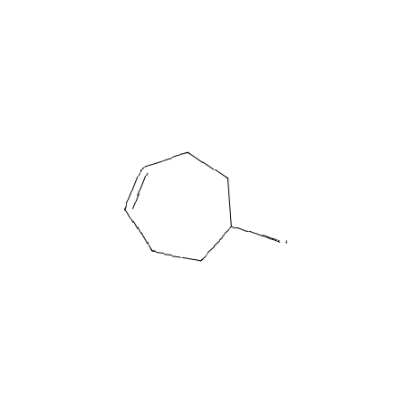 [CH2]C1CCC=CCC1